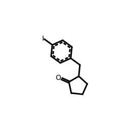 O=C1CCCC1Cc1ccc(I)cc1